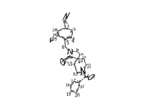 N#Cc1ccc(CN2CCC3(CCN(C(=O)c4ccccc4)CC3)C2=O)c(F)c1